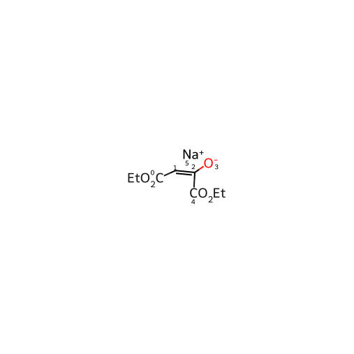 CCOC(=O)/C=C(/[O-])C(=O)OCC.[Na+]